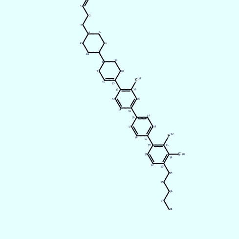 C=CCCC1CCC(C2CC=C(c3ccc(-c4ccc(-c5ccc(CCCCC)c(F)c5F)cc4)cc3F)CC2)CC1